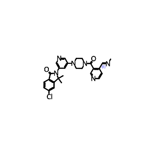 C/N=C/c1ccncc1C(=O)N1CCN(c2cncc(N3C(=O)c4ccc(Cl)cc4C3(C)C)c2)CC1